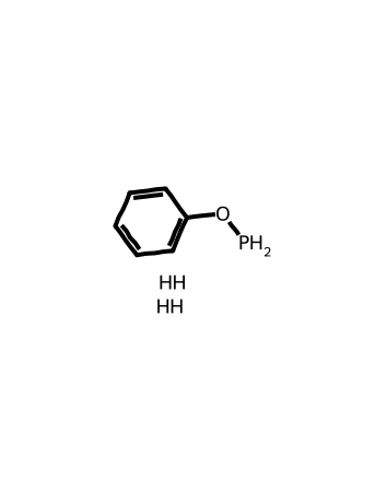 POc1ccccc1.[HH].[HH]